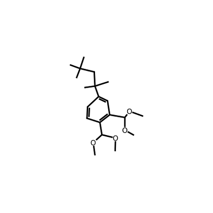 COC(OC)c1ccc(C(C)(C)CC(C)(C)C)cc1C(OC)OC